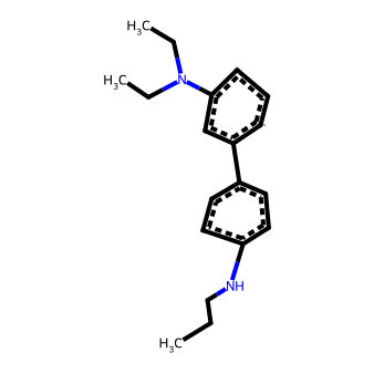 CCCNc1ccc(-c2[c]ccc(N(CC)CC)c2)cc1